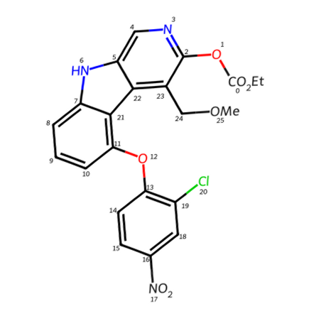 CCOC(=O)Oc1ncc2[nH]c3cccc(Oc4ccc([N+](=O)[O-])cc4Cl)c3c2c1COC